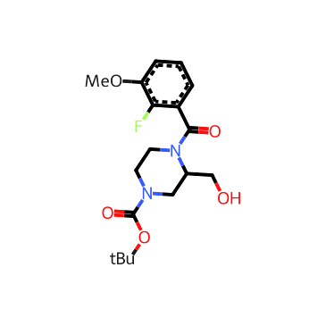 COc1cccc(C(=O)N2CCN(C(=O)OC(C)(C)C)CC2CO)c1F